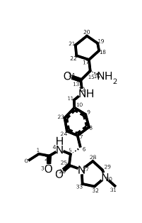 CCC(=O)N[C@H](Cc1ccc(CNC(=O)[C@@H](N)C2CCCCC2)cc1)C(=O)N1CCN(C)CC1